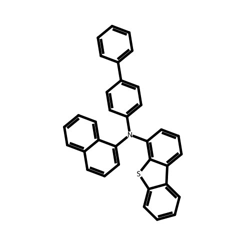 c1ccc(-c2ccc(N(c3cccc4ccccc34)c3cccc4c3sc3ccccc34)cc2)cc1